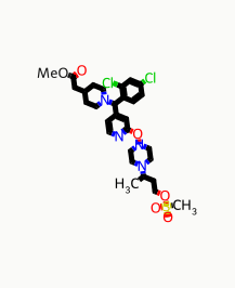 COC(=O)CC1CCN(C(c2ccnc(ON3CCN(C(C)CCOS(C)(=O)=O)CC3)c2)c2ccc(Cl)cc2Cl)CC1